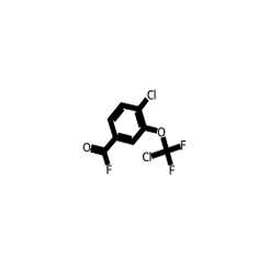 O=C(F)c1ccc(Cl)c(OC(F)(F)Cl)c1